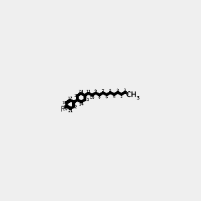 CCCCCCCCCCCCC1CCC(c2ccc(F)cc2)CC1